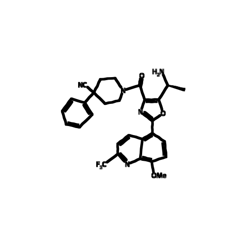 COc1ccc(-c2nc(C(=O)N3CCC(C#N)(c4ccccc4)CC3)c([C@H](C)N)o2)c2ccc(C(F)(F)F)nc12